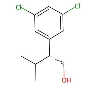 CC(C)[C@@H](CO)c1cc(Cl)cc(Cl)c1